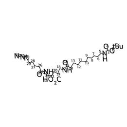 CC(C)(C)OC(=O)NCCCCCCCCCCC(=O)NCCCC[C@H](NC(=O)CCCCN=[N+]=[N-])C(=O)O